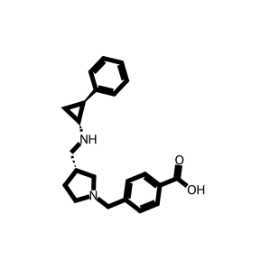 O=C(O)c1ccc(CN2CC[C@H](CN[C@@H]3C[C@H]3c3ccccc3)C2)cc1